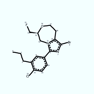 CCCc1cc(-c2nc(Br)c3n2C[C@@H](CF)OCC3)ccc1Cl